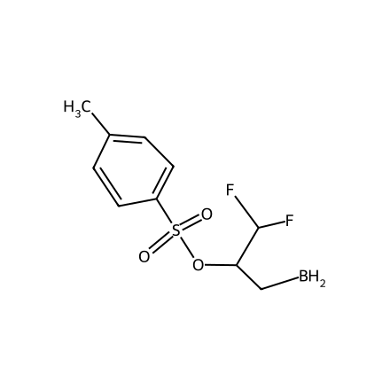 BCC(OS(=O)(=O)c1ccc(C)cc1)C(F)F